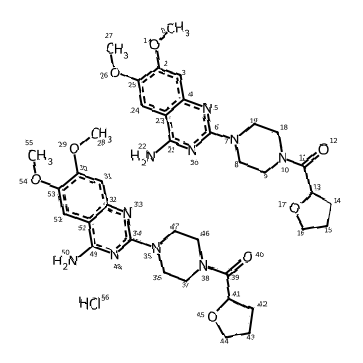 COc1cc2nc(N3CCN(C(=O)C4CCCO4)CC3)nc(N)c2cc1OC.COc1cc2nc(N3CCN(C(=O)C4CCCO4)CC3)nc(N)c2cc1OC.Cl